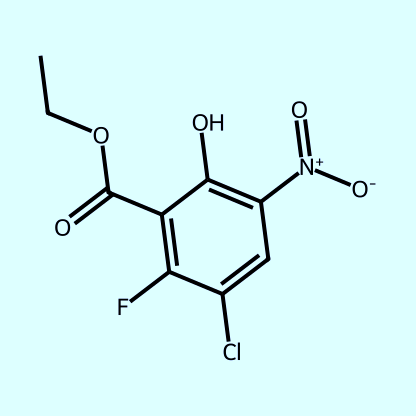 CCOC(=O)c1c(O)c([N+](=O)[O-])cc(Cl)c1F